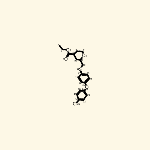 CCOC(=O)C1CCOC(CSc2ccc(Oc3ccc(Cl)cc3)cc2)C1